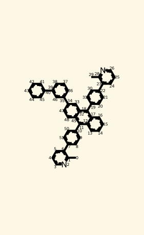 Cc1ncccc1-c1ccc(-c2c3ccccc3c(-c3ccc(-c4cccnc4C)cc3)c3cc(-c4cccc(-c5ccccc5)c4)ccc23)cc1